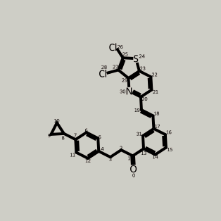 O=C(CCc1ccc(C2CC2)cc1)c1cccc(/C=C/c2ccc3sc(Cl)c(Cl)c3n2)c1